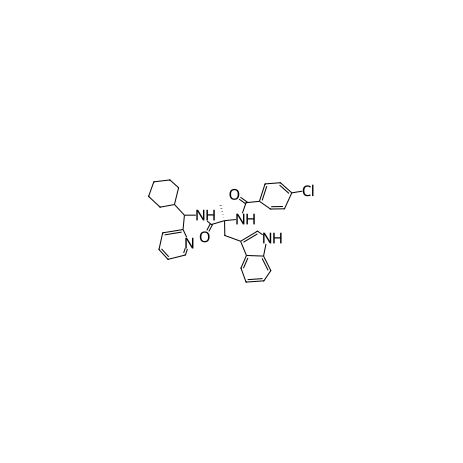 C[C@@](Cc1c[nH]c2ccccc12)(NC(=O)c1ccc(Cl)cc1)C(=O)NC(c1ccccn1)C1CCCCC1